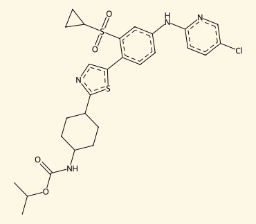 CC(C)OC(=O)NC1CCC(c2ncc(-c3ccc(Nc4ccc(Cl)cn4)cc3S(=O)(=O)C3CC3)s2)CC1